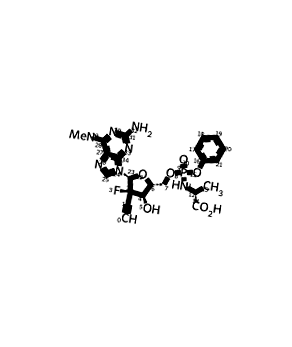 C#C[C@@]1(F)[C@H](O)[C@@H](COP(=O)(N[C@H](C)C(=O)O)Oc2ccccc2)O[C@H]1n1cnc2c(NC)nc(N)nc21